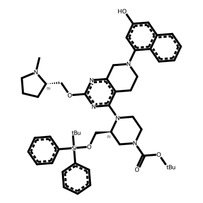 CN1CCC[C@H]1COc1nc2c(c(N3CCN(C(=O)OC(C)(C)C)C[C@H]3CO[Si](c3ccccc3)(c3ccccc3)C(C)(C)C)n1)CCN(c1cc(O)cc3ccccc13)C2